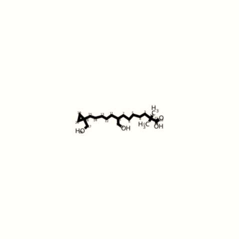 CC(C)(CCCCCC(CO)CCCCCC1(CO)CC1)C(=O)O